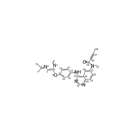 C=N/C(=C\N=C(C)C)Oc1ccc(Nc2ncnc3ccc(N(C)C(=O)C#CC)cc23)cc1